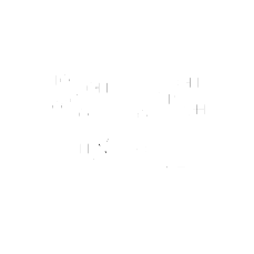 CC(COP(=O)(O)O)OC([O])[C@@H](N)COP(=O)(O)O